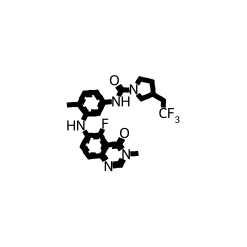 Cc1ccc(NC(=O)N2CCC(CC(F)(F)F)C2)cc1Nc1ccc2ncn(C)c(=O)c2c1F